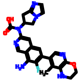 Cc1c(-c2cc3cc(N(C(=O)O)C4Cc5nccn5C4)ncc3c(N)c2F)cnc2c1NCCO2